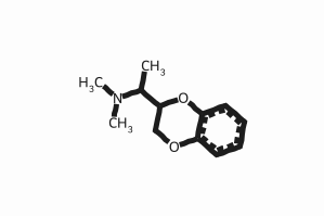 CC(C1COc2ccccc2O1)N(C)C